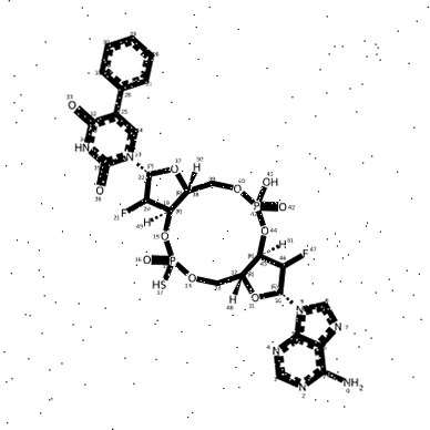 Nc1ncnc2c1ncn2[C@@H]1O[C@@H]2COP(=O)(S)O[C@H]3C(F)[C@H](n4cc(-c5ccccc5)c(=O)[nH]c4=O)O[C@@H]3COP(=O)(O)O[C@H]2C1F